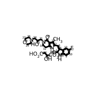 Cc1c(C=C2C(=O)Nc3ccc(F)cc32)[nH]c2c1C(=O)N(CC(O)CN1CCOCC1)CC2.O=C(O)CC(O)C(=O)O